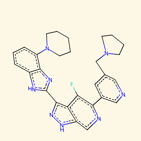 Fc1c(-c2cncc(CN3CCCC3)c2)ncc2[nH]nc(-c3nc4c(N5CCCCC5)cccc4[nH]3)c12